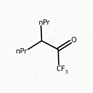 CCCC(CCC)C(=O)C(F)(F)F